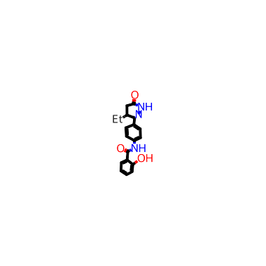 CCC1CC(=O)NN=C1c1ccc(NC(=O)c2ccccc2O)cc1